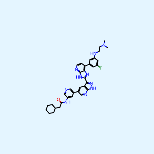 CN(C)CCNc1cc(F)cc(-c2ccnc3[nH]c(-c4n[nH]c5ncc(-c6cncc(NC(=O)CC7CCCCC7)c6)cc45)nc23)c1